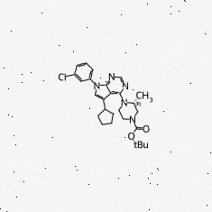 C[C@@H]1CN(C(=O)OC(C)(C)C)CCN1c1ncnc2c1c(C1CCCC1)cn2-c1cccc(Cl)c1